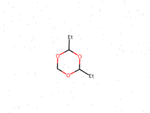 CCC1OCOC(CC)O1